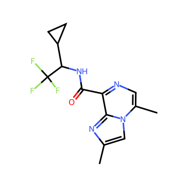 Cc1cn2c(C)cnc(C(=O)NC(C3CC3)C(F)(F)F)c2n1